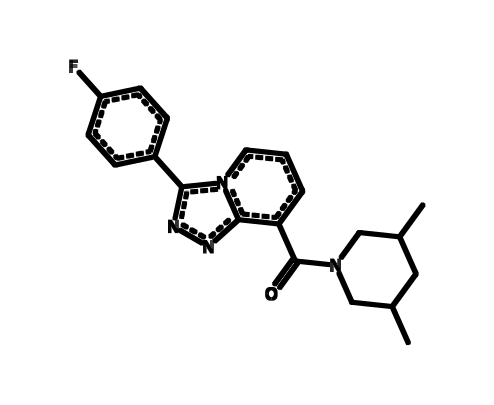 CC1CC(C)CN(C(=O)c2cccn3c(-c4ccc(F)cc4)nnc23)C1